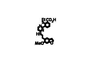 CCSc1c(C(=O)O)cccc1-c1nccc(NCCc2cc3ccoc3cc2OC)n1